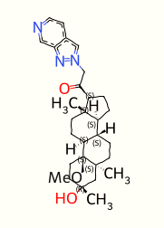 COC[C@]12CC[C@@](C)(O)C[C@]1(C)CC[C@H]1[C@@H]3CC[C@H](C(=O)Cn4cc5ccncc5n4)[C@@]3(C)CC[C@@H]12